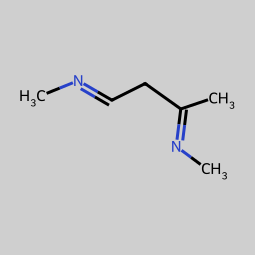 CN=CCC(C)=NC